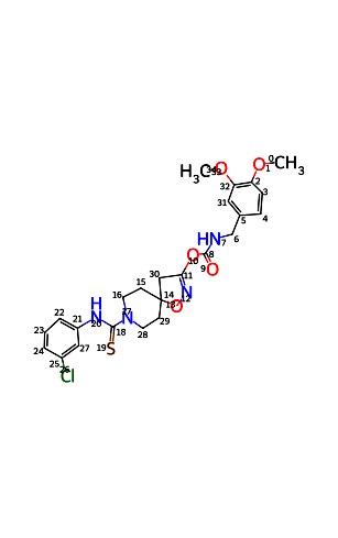 COc1ccc(CNC(=O)OC2=NOC3(CCN(C(=S)Nc4cccc(Cl)c4)CC3)C2)cc1OC